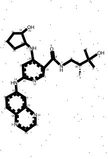 CC(C)(O)[C@H](F)CNC(=O)c1cnc(Nc2ccc3nccnc3c2)cc1NC1CCCC1O